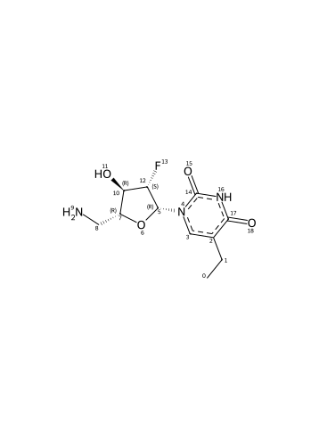 CCc1cn([C@@H]2O[C@H](CN)[C@@H](O)[C@@H]2F)c(=O)[nH]c1=O